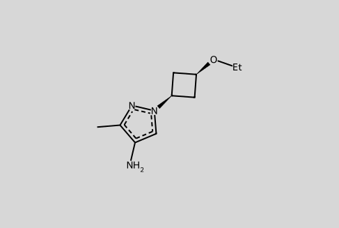 CCO[C@H]1C[C@@H](n2cc(N)c(C)n2)C1